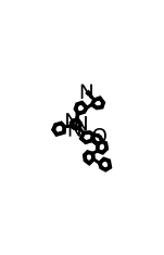 N#Cc1ccccc1-c1cccc(-c2nc(-c3ccccc3)nc(-c3ccc4c(c3)oc3cccc(-c5ccccc5-c5ccccc5)c34)n2)c1